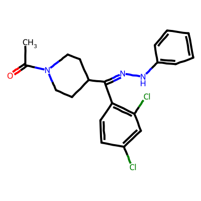 CC(=O)N1CCC(C(=NNc2ccccc2)c2ccc(Cl)cc2Cl)CC1